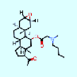 CCCCN(C)CC(=O)O[C@H]1C[C@]2(C)[C@@H](C(C)=O)CC[C@H]2[C@@H]2CC[C@H]3C[C@@H]4O[C@@H]4C[C@]3(C)[C@H]21